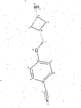 N#Cc1ccc(OC[C@H]2C[C@@H](N)C2)cc1